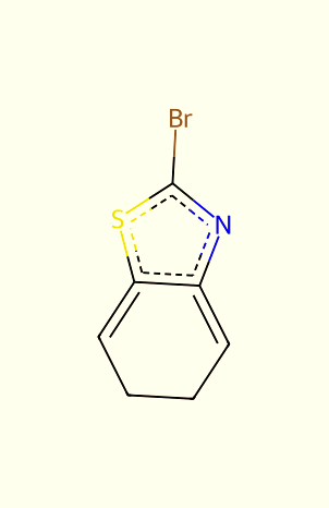 Brc1nc2c(s1)=CCCC=2